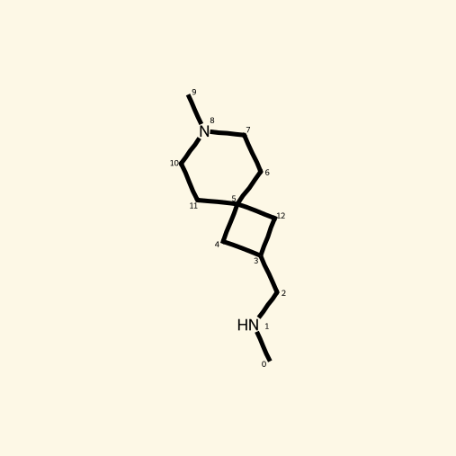 CNCC1CC2(CCN(C)CC2)C1